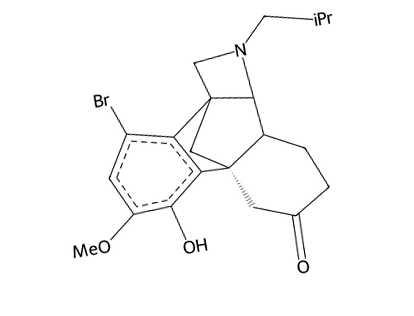 COc1cc(Br)c2c(c1O)[C@]13CC(=O)CCC1C1N(CC(C)C)CC21C3